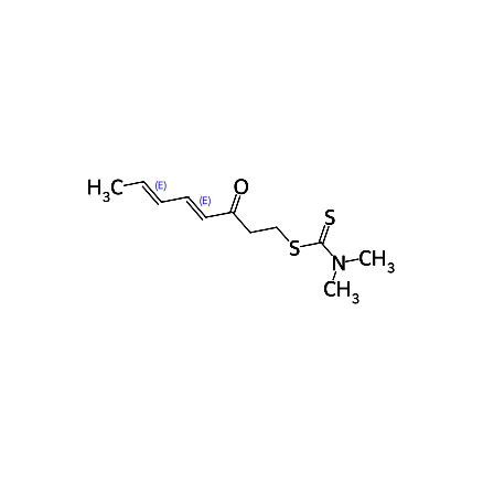 C/C=C/C=C/C(=O)CCSC(=S)N(C)C